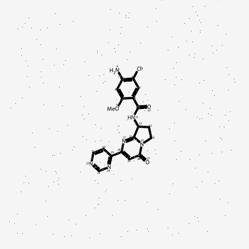 COc1cc(N)c(Cl)cc1C(=O)NC1CCn2c1nc(-c1ccncn1)cc2=O